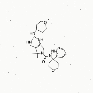 CC1(C)C2=C(CN1C(=O)N(N)C1(c3ccccc3)CCOCC1)NC(NC1CCOCC1)NC2